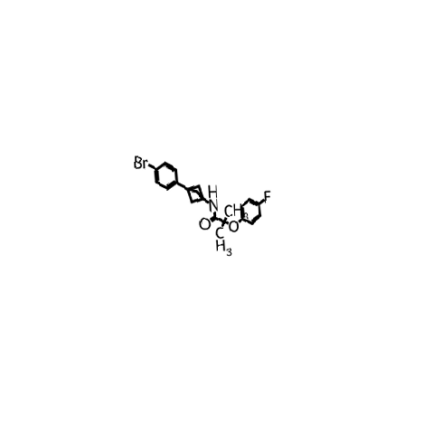 CC(C)(Oc1ccc(F)cc1)C(=O)NC12CC(c3ccc(Br)cc3)(C1)C2